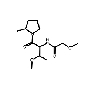 COCC(=O)NC(C(=O)N1CCCC1C)C(C)OC